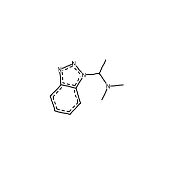 CC(N(C)C)n1nnc2ccccc21